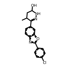 CC1CC(O)NN=C1c1ccc2nc(-c3ccc(Cl)cc3)oc2c1